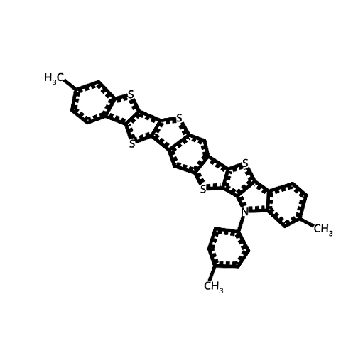 Cc1ccc(-n2c3cc(C)ccc3c3sc4c5cc6sc7c(sc8c9ccc(C)cc9sc87)c6cc5sc4c32)cc1